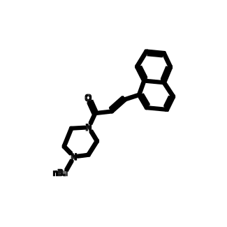 CCCCN1CCN(C(=O)/C=C/c2cccc3ccccc23)CC1